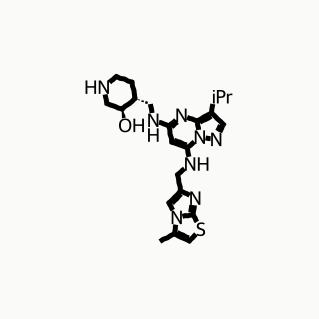 Cc1csc2nc(CNc3cc(NC[C@H]4CCNC[C@@H]4O)nc4c(C(C)C)cnn34)cn12